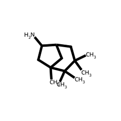 CC1(C)CC2CC(C)(CC2N)C1(C)C